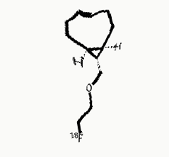 [18F]CCOC[C@H]1[C@@H]2CC/C=C/CC[C@@H]21